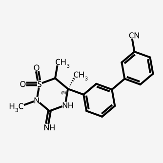 CC1[C@@](C)(c2cccc(-c3cccc(C#N)c3)c2)NC(=N)N(C)S1(=O)=O